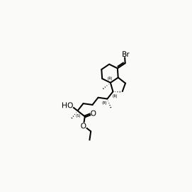 CCOC(=O)[C@@](C)(O)CCC[C@@H](C)[C@H]1CCC2C(=CBr)CCC[C@@]21C